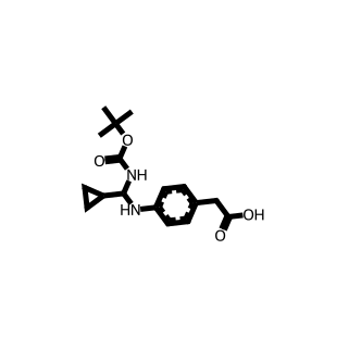 CC(C)(C)OC(=O)NC(Nc1ccc(CC(=O)O)cc1)C1CC1